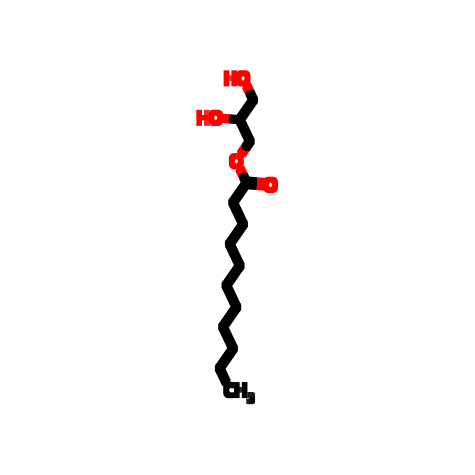 CCCCCCCCCCC(=O)OCC(O)CO